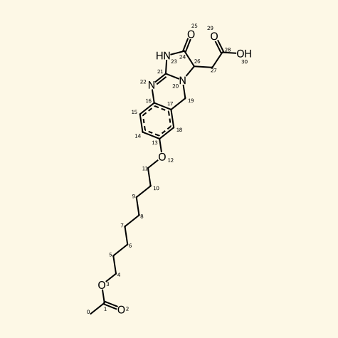 CC(=O)OCCCCCCCCOc1ccc2c(c1)CN1C(=N2)NC(=O)C1CC(=O)O